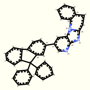 c1ccc(C2(c3ccccc3)c3ccccc3-c3ccc(-c4cnc5nc6ccc7ccccc7n6c5c4)cc32)cc1